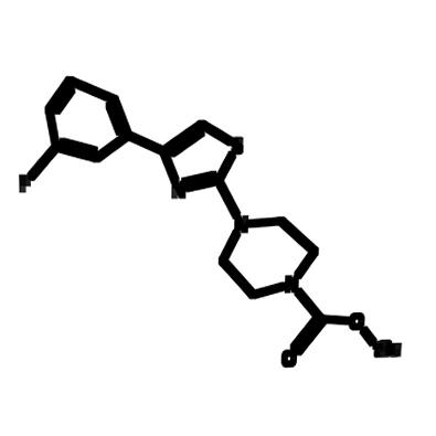 CC(C)(C)OC(=O)N1CCN(c2nc(-c3cccc(F)c3)cs2)CC1